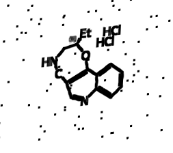 CC[C@@H]1CNCc2cnc3ccccc3c2O1.Cl.Cl